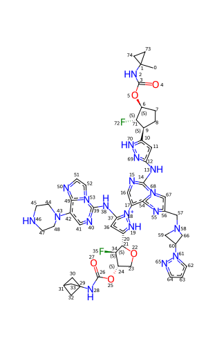 CC1(NC(=O)O[C@H]2CC[C@@H](c3cc(Nc4ncc(-[n+]5[nH]c([C@@H]6OC[C@H](OC(=O)NC78CC(C7)C8)[C@H]6F)cc5Nc5ncc(N6CCNCC6)c6nccn56)c5nc(CN6CC(n7cccn7)C6)cn45)n[nH]3)[C@@H]2F)CC1